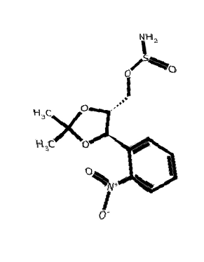 CC1(C)O[C@H](c2ccccc2[N+](=O)[O-])[C@@H](COS(N)=O)O1